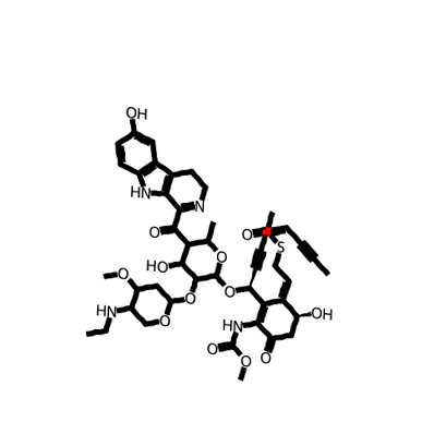 CC#C/C=C\C#C[C@H](OC1OC(C)C(C(=O)C2=NCCc3c2[nH]c2ccc(O)cc32)C(O)C1OC1CC(OC)C(NCC)CO1)C1=C(NC(=O)OC)C(=O)C[C@H](O)/C1=C/CSC(C)=O